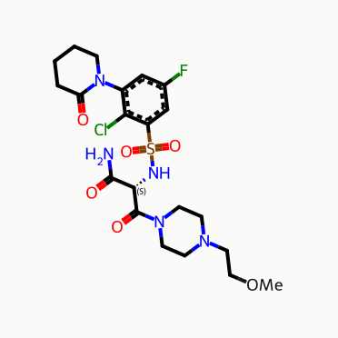 COCCN1CCN(C(=O)[C@@H](NS(=O)(=O)c2cc(F)cc(N3CCCCC3=O)c2Cl)C(N)=O)CC1